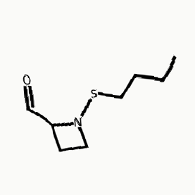 CCCCSN1CCC1C=O